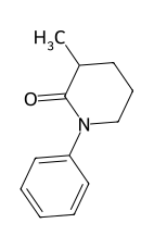 CC1CCCN(c2ccccc2)C1=O